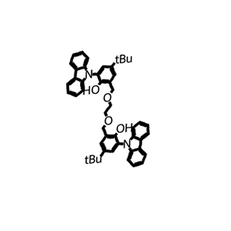 CC(C)(C)c1cc(COCCOCc2cc(C(C)(C)C)cc(-n3c4ccccc4c4ccccc43)c2O)c(O)c(-n2c3ccccc3c3ccccc32)c1